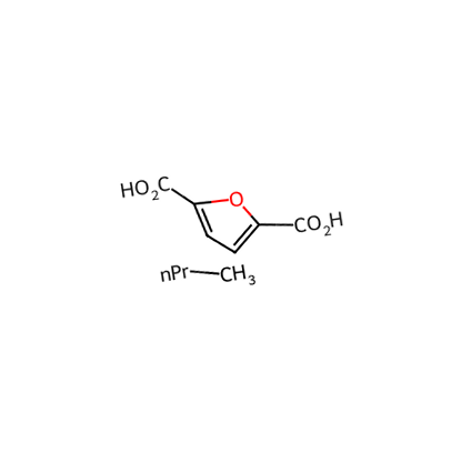 CCCC.O=C(O)c1ccc(C(=O)O)o1